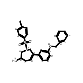 Cc1ccc(S(=O)(=O)N2CC(c3cccc(OCc4ccccc4)c3)=CCC(O)C2)cc1